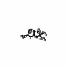 C[C@@H](CO)CC(=O)OC(C)(C)C